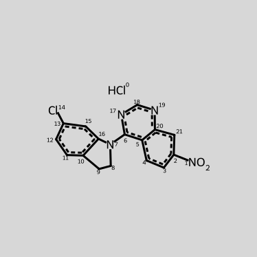 Cl.O=[N+]([O-])c1ccc2c(N3CCc4ccc(Cl)cc43)ncnc2c1